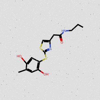 CCCNC(=O)Cc1csc(Sc2cc(O)c(C)cc2O)n1